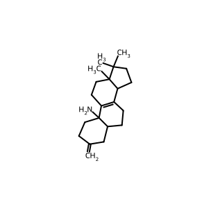 C=C1CCC2(N)C3=C(CCC2C1)C1CCC(C)(C)C1(C)CC3